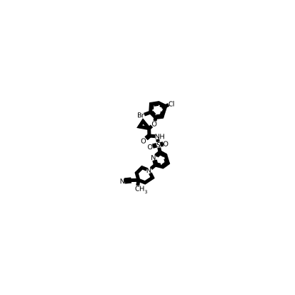 CC1(C#N)CCN(c2cccc(S(=O)(=O)NC(=O)C3(Oc4cc(Cl)ccc4Br)CC3)n2)CC1